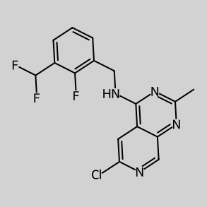 Cc1nc(NCc2cccc(C(F)F)c2F)c2cc(Cl)ncc2n1